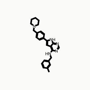 Cc1cccc(CNc2ncnc3[nH]c(-c4ccc(CN5CCCCC5)cc4)cc23)c1